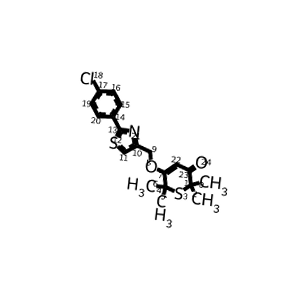 CC1(C)SC(C)(C)C(OCc2csc(-c3ccc(Cl)cc3)n2)=CC1=O